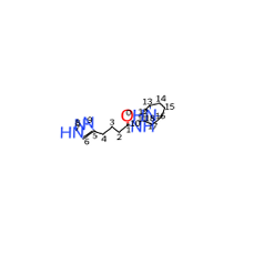 O=C(CCCc1c[nH]nn1)NC1CC2CCC(C1)N2